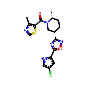 Cc1ncsc1C(=O)N1C[C@@H](c2noc(-c3cc(Cl)c[nH]3)n2)CC[C@H]1C